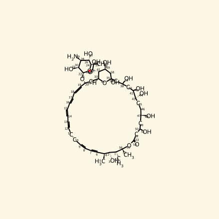 C[C@@H]1[C@H](O)[C@@H](C)/C=C/C=C/CC/C=C/C=C/C=C/C=C/[C@H](O[C@@H]2O[C@H](C)[C@@H](O)[C@H](N)[C@@H]2O)C[C@@H]2O[C@](O)(CC(O)CC(O)[C@H](O)CC[C@@H](O)CC(O)CC(=O)O[C@H]1C)C[C@H](O)[C@H]2C(=O)O